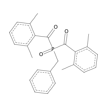 Cc1cccc(C)c1C(=O)P(=O)(Cc1ccccc1)C(=O)c1c(C)cccc1C